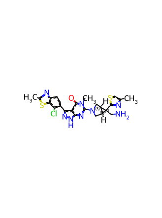 Cc1csc([C@]2(CN)[C@@H]3CN(c4nc5[nH]nc(-c6ccc7nc(C)sc7c6Cl)c5c(=O)n4C)C[C@@H]32)n1